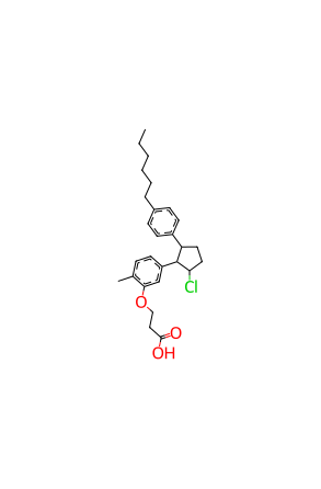 CCCCCCc1ccc(C2CCC(Cl)C2c2ccc(C)c(OCCC(=O)O)c2)cc1